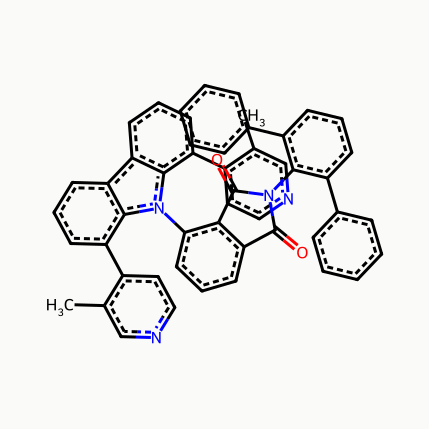 Cc1cnccc1-c1cccc2c3cccc(-c4ccncc4C)c3n(-c3cccc4c3C(=O)N(c3c(-c5ccccc5)cccc3-c3ccccc3)C4=O)c12